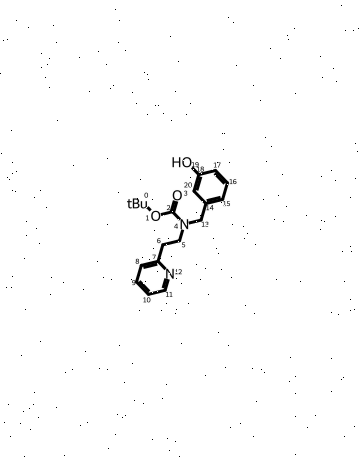 CC(C)(C)OC(=O)N(CCc1ccccn1)Cc1cccc(O)c1